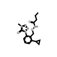 CCCC(=O)NOCc1c(C2CC2)cccc1-n1nnn(C)c1=O